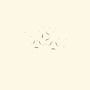 CCOCc1cc([C@](C)(c2cc(CO)c(O)c(CO)c2)c2cc(COCC)c(O)c(COCC)c2)cc(CO)c1O